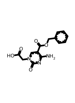 Nc1nc(=O)n(CC(=O)O)cc1C(=O)OCc1ccccc1